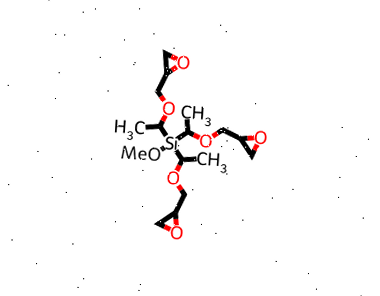 CO[Si](C(C)OCC1CO1)(C(C)OCC1CO1)C(C)OCC1CO1